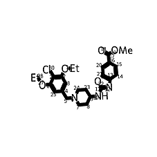 CCOc1cc(CN2CCC(Nc3nc4ccc(C(=O)OC)cc4o3)CC2)cc(OCC)c1Cl